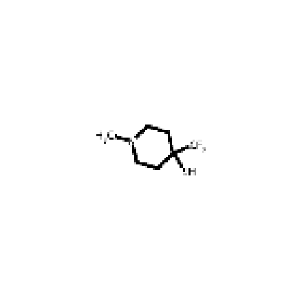 CN1CCC(S)(C(F)(F)F)CC1